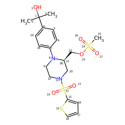 CC(C)(O)c1ccc(N2CCN(S(=O)(=O)c3cccs3)C[C@@H]2COS(C)(=O)=O)cc1